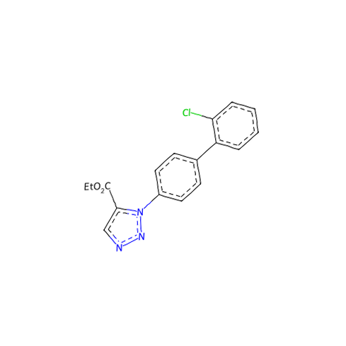 CCOC(=O)c1cnnn1-c1ccc(-c2ccccc2Cl)cc1